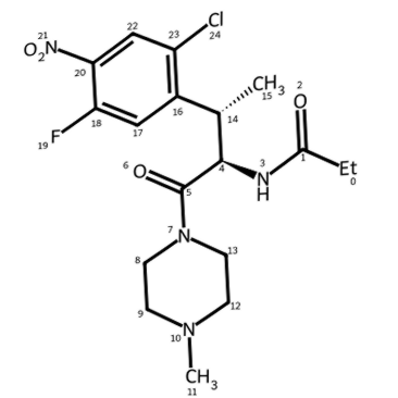 CCC(=O)N[C@@H](C(=O)N1CCN(C)CC1)[C@@H](C)c1cc(F)c([N+](=O)[O-])cc1Cl